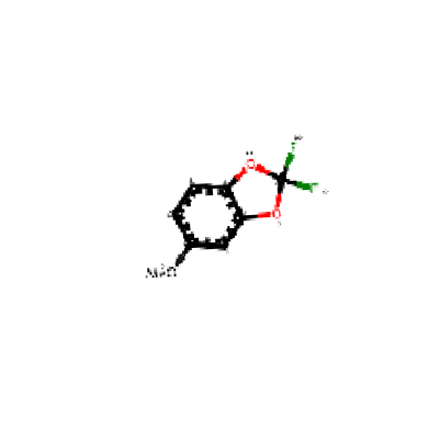 COc1[c]cc2c(c1)OC(F)(F)O2